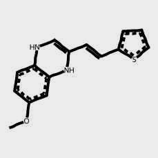 COc1ccc2c(c1)NC(C=Cc1cccs1)=[C]N2